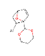 CC(=O)C1CC2C=CC1(C1OCCCO1)O2